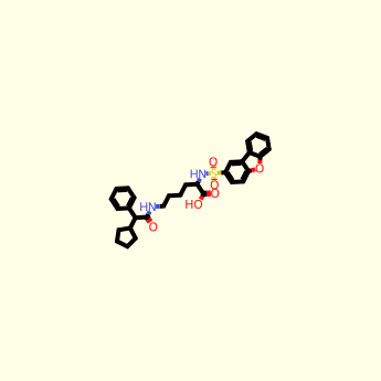 O=C(O)C(CCCCNC(=O)C(c1ccccc1)C1CCCC1)NS(=O)(=O)c1ccc2oc3ccccc3c2c1